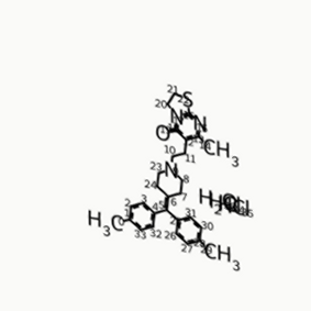 Cc1ccc(C(=C2CCN(CCc3c(C)nc4n(c3=O)CCS4)CC2)c2ccc(C)cc2)cc1.Cl.Cl.O